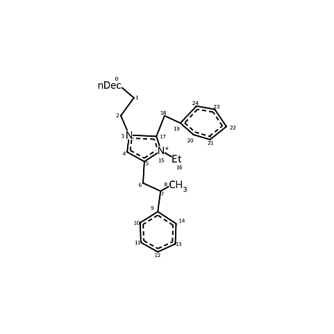 CCCCCCCCCCCCn1cc(CC(C)c2ccccc2)[n+](CC)c1Cc1ccccc1